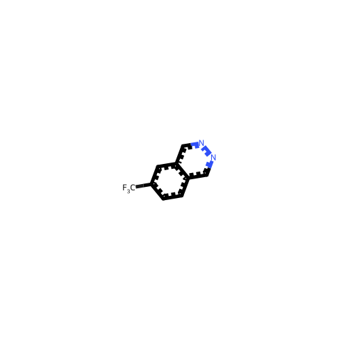 FC(F)(F)c1ccc2cnncc2c1